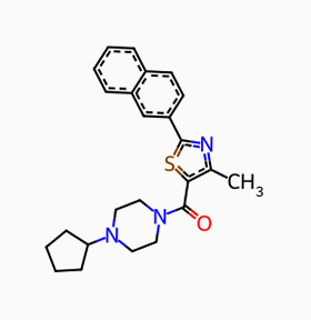 Cc1nc(-c2ccc3ccccc3c2)sc1C(=O)N1CCN(C2CCCC2)CC1